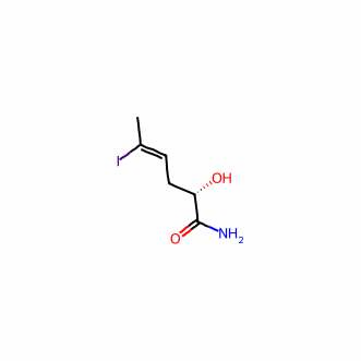 C/C(I)=C/C[C@H](O)C(N)=O